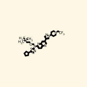 C[Si](C)(C)CCOCN(c1ccc2ncc(-c3cnn(C4CCN(CC(F)(F)F)CC4)c3)cc2n1)c1nnc(C2CCCC2)s1